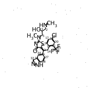 CNCC(O)CN(C)C1=NC(=O)C(=C(Cc2ccc(Cl)cc2C(F)(F)F)c2ccc3[nH]ncc3c2)S1